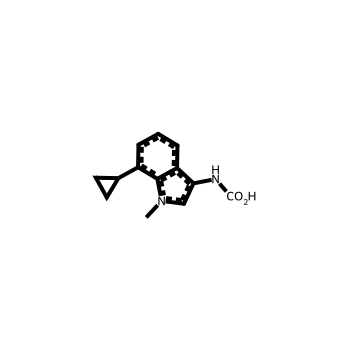 Cn1cc(NC(=O)O)c2cccc(C3CC3)c21